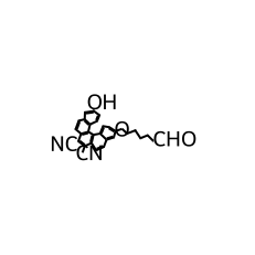 N#Cc1c(C#N)c2ccc3cc(OCCCCCC=O)ccc3c2c2c1ccc1cc(O)ccc12